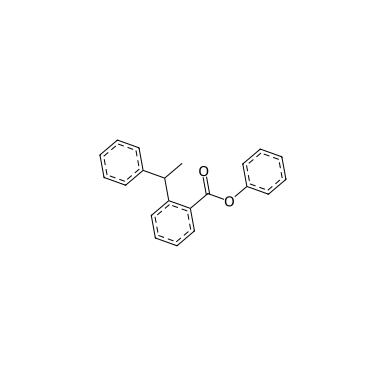 CC(c1ccccc1)c1ccccc1C(=O)Oc1ccccc1